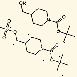 CC(C)(C)OC(=O)N1CCC(CO)CC1.CC(C)(C)OC(=O)N1CCC(COS(C)(=O)=O)CC1